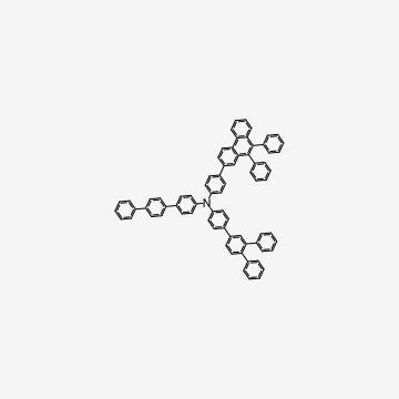 c1ccc(-c2ccc(-c3ccc(N(c4ccc(-c5ccc(-c6ccccc6)c(-c6ccccc6)c5)cc4)c4ccc(-c5ccc6c(c5)c(-c5ccccc5)c(-c5ccccc5)c5ccccc56)cc4)cc3)cc2)cc1